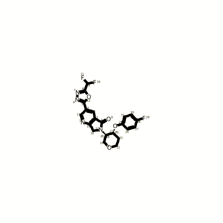 O=C1c2cc(-c3nnc(C(F)F)o3)cnc2CN1[C@@H]1COCC[C@H]1Oc1ccc(F)cc1